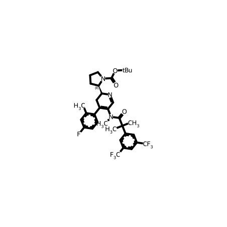 Cc1cc(F)ccc1C1=C(N(C)C(=O)C(C)(C)c2cc(C(F)(F)F)cc(C(F)(F)F)c2)C=NC([C@H]2CCCN2C(=O)OC(C)(C)C)C1